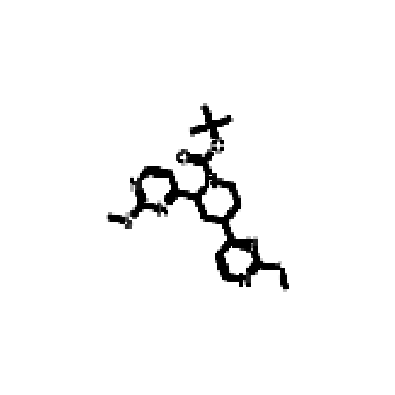 CSc1nccc(C2CCN(C(=O)OC(C)(C)C)C(c3ccnc(SC)n3)C2)n1